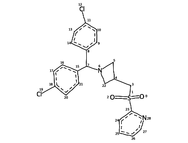 O=S(=O)(CC1CN(C(c2ccc(Cl)cc2)c2ccc(Cl)cc2)C1)c1ccccn1